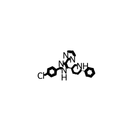 Clc1ccc(-c2nc(-c3ncccn3)c([C@@H]3CC[C@@H](c4ccccc4)NC3)[nH]2)cc1